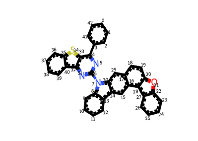 c1ccc(-c2nc(-n3c4ccccc4c4cc5c(ccc6oc7ccccc7c65)cc43)nc3c2sc2ccccc23)cc1